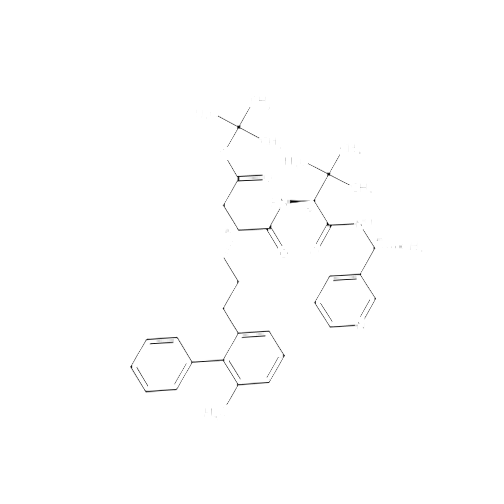 Cc1cccc(CCC[C@H](CC(=O)OC(C)(C)C)C(=O)N[C@H](C(=O)N[C@H](C)c2cccnc2)C(C)(C)C)c1-c1ccccc1